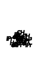 Cc1cc(-c2cc(C)cc(-c3cc(C)cc(-c4c(C(C)C)cc(C(C)C)cc4C(C)C)c3O)c2OCCCCOc2ccccc2)c(O)c(-c2c(C(C)C)cc(C(C)C)cc2C(C)C)c1